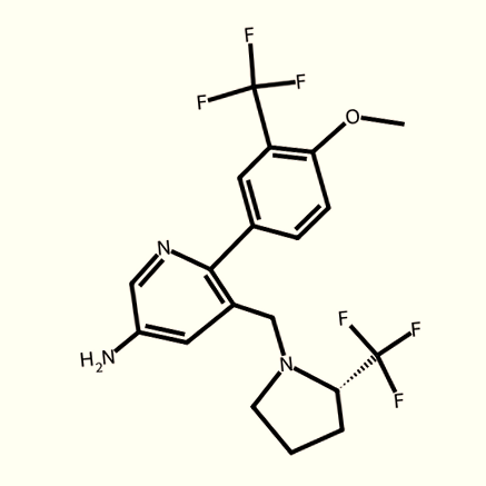 COc1ccc(-c2ncc(N)cc2CN2CCC[C@H]2C(F)(F)F)cc1C(F)(F)F